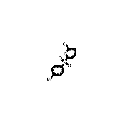 O=S(=O)(c1ccc(Br)cc1)c1cccc(Cl)n1